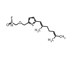 CC(C)=CCC/C(C)=C/c1ccc(COC[PH](=O)F)s1